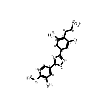 CCC1=CC(c2noc(-c3cnc(OC(C)C)c(C)c3)n2)CC(C)=C1CCC(=O)O